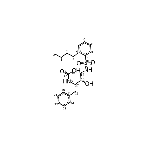 CCCCc1ccccc1S(=O)(=O)NC[C@@H](O)[C@H](Cc1ccccc1)NC(=O)O